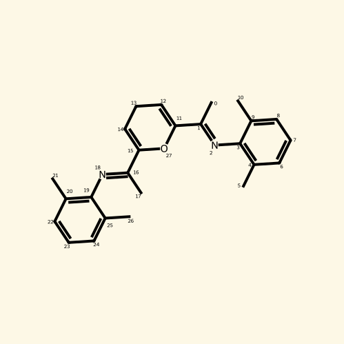 C/C(=N\c1c(C)cccc1C)C1=CCC=C(/C(C)=N/c2c(C)cccc2C)O1